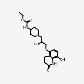 CCOC(=O)NC1CCN(CC(O)COc2ccc(O)c3c2CCC(=O)N3)CC1